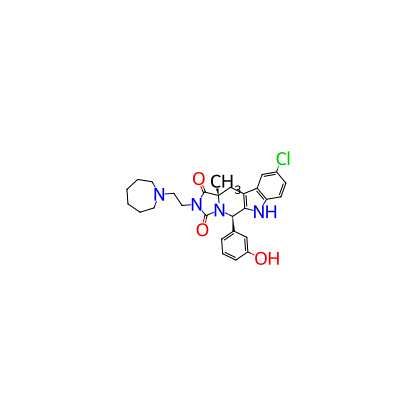 C[C@@]12Cc3c([nH]c4ccc(Cl)cc34)[C@@H](c3cccc(O)c3)N1C(=O)N(CCN1CCCCCC1)C2=O